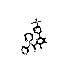 Cc1c(C(=O)N(c2cccnc2)C2CCCCO2)nc(-c2ccc(S(C)(=O)=O)cc2)c(F)c1C